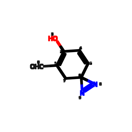 O=CC1=C(O)C=CC2(C1)N=N2